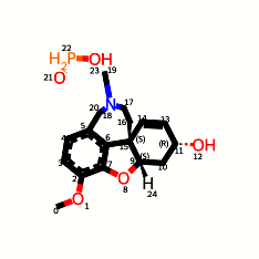 COc1ccc2c3c1O[C@H]1C[C@@H](O)C=C[C@@]31CCN(C)C2.O=[PH2]O